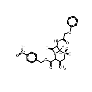 C=C1CS(=O)(=O)[C@H]2C(NC(=O)COc3ccccc3)C(=O)N2C1C(=O)OCc1ccc([N+](=O)[O-])cc1